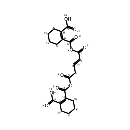 O=C(/C=C/CC(=O)OC(=O)C1=C(C(=O)O)CCCC1)OC(=O)C1=C(C(=O)O)CCCC1